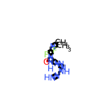 CC1(C)CCN(Cc2cc(F)c(N3CC(=O)NC4(CCN(c5cc(NCCN6CCNCC6)ncn5)CC4)C3)cc2F)CC1